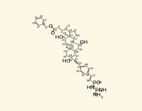 CC(CCC(=O)OCc1ccccc1)C1CCC2C3C(C[C@H](O)[C@]12C)[C@@]1(C)CC[C@](O)(C#Cc2ccc(C=CC(=O)NC(=N)N)cc2)CC1C[C@H]3O